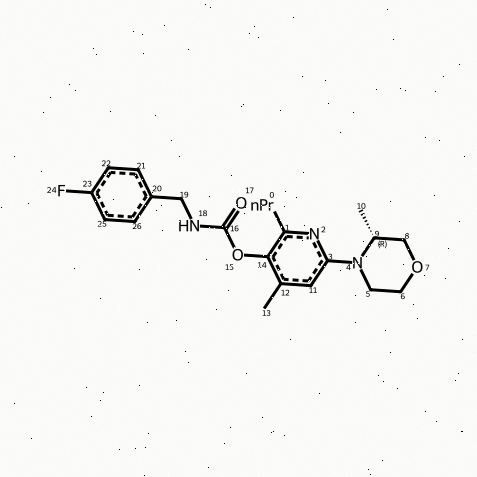 CCCc1nc(N2CCOC[C@H]2C)cc(C)c1OC(=O)NCc1ccc(F)cc1